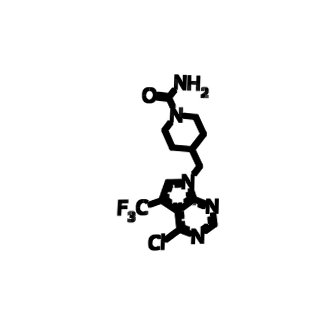 NC(=O)N1CCC(Cn2cc(C(F)(F)F)c3c(Cl)ncnc32)CC1